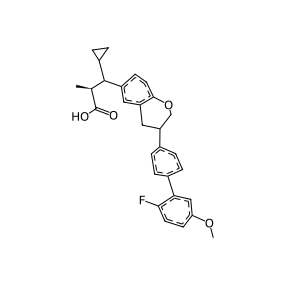 COc1ccc(F)c(-c2ccc(C3COc4ccc(C(C5CC5)[C@H](C)C(=O)O)cc4C3)cc2)c1